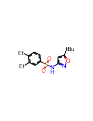 CCc1ccc(S(=O)(=O)Nc2cc(C(C)(C)C)on2)cc1CC